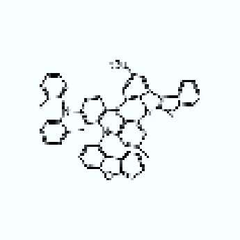 Cc1cc2c3c(c1)-n1c4sc5ccccc5c4c4cc(C(C)(C)C)cc(c41)B3c1ccc(N(c3ccccc3C)c3ccccc3C)cc1N2c1cccc2oc3ccccc3c12